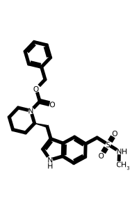 CNS(=O)(=O)Cc1ccc2[nH]cc(C[C@H]3CCCCN3C(=O)OCc3ccccc3)c2c1